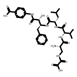 CC(C)C[C@H](NC(=O)[C@@H](NC(=O)[C@@H](N)CNC(=O)C(=O)O)C(C)C)C(=O)N[C@@H](Cc1ccccc1)[C@@H](O)C(=O)Nc1ccc(C(=O)O)cc1